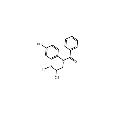 CCOC(C#N)CN(C(=O)c1ccccc1)c1ccc(O)cc1